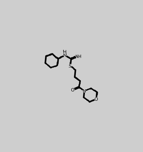 N=C(NC1CCCCC1)SCCCC(=O)N1CCOCC1